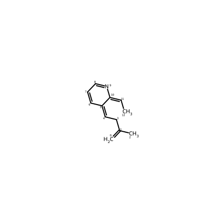 C=C(C)C/C=c1/cccn/c1=C/C